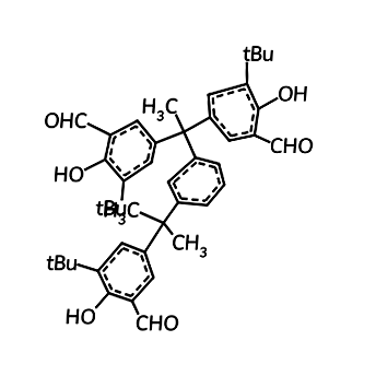 CC(C)(C)c1cc(C(C)(C)c2cccc(C(C)(c3cc(C=O)c(O)c(C(C)(C)C)c3)c3cc(C=O)c(O)c(C(C)(C)C)c3)c2)cc(C=O)c1O